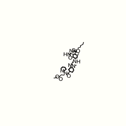 CCCCCOC(=O)c1ccc(NCc2nc3cc(C(=O)N(CCC(=O)OCC)c4ccccn4)ccc3n2C)c(OC)c1C(=N)N